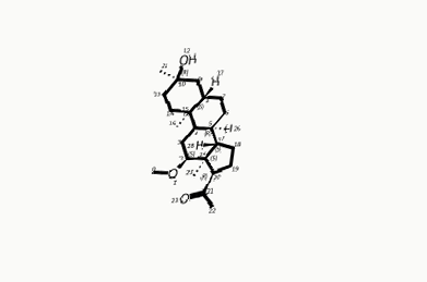 CO[C@H]1CC2[C@@H](CC[C@H]3C[C@](C)(O)CC[C@]23C)[C@@H]2CC[C@@H](C(C)=O)[C@@]12C